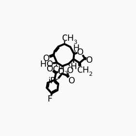 C=C1C(=O)O[C@@H]2C[C@H](C)/C=C\C(=O)[C@](C)(O)[C@@H](OC(=O)c3ccc(F)cc3)[C@@H](OC(=O)CC(C)C)[C@@H]12